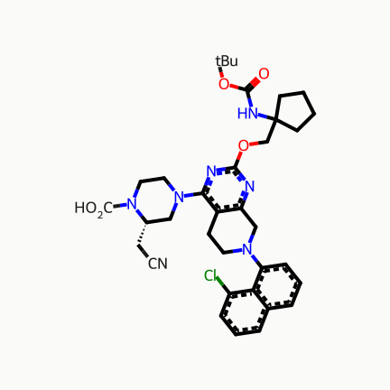 CC(C)(C)OC(=O)NC1(COc2nc3c(c(N4CCN(C(=O)O)[C@@H](CC#N)C4)n2)CCN(c2cccc4cccc(Cl)c24)C3)CCCC1